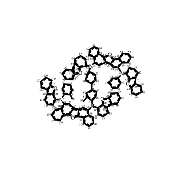 Cc1ccccc1N(c1cc2c3cc(N(c4ccc(-c5ccc(N(c6cc7c8cc(N(c9ccccc9)c9cccc%10c9oc9ccccc9%10)c9ccccc9c8oc7c7ccccc67)c6cccc7c6oc6ccccc67)cc5)cc4C)c4cccc5c4oc4ccccc45)c4ccccc4c3oc2c2ccccc12)c1cccc2c1oc1ccccc12